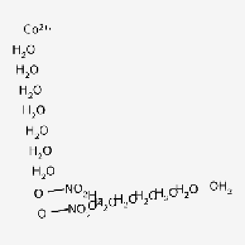 O.O.O.O.O.O.O.O.O.O.O.O.O.O.O=[N+]([O-])[O-].O=[N+]([O-])[O-].[Co+2]